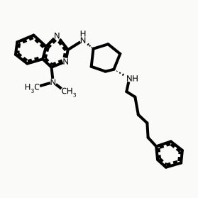 CN(C)c1nc(N[C@H]2CC[C@@H](NCCCCCc3ccccc3)CC2)nc2ccccc12